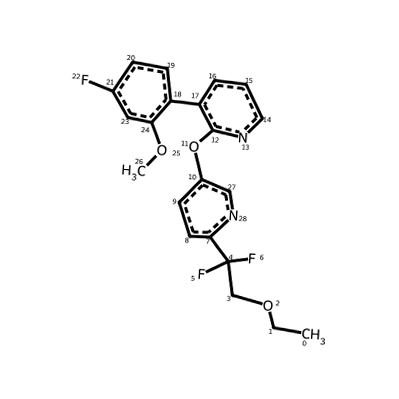 CCOCC(F)(F)c1ccc(Oc2ncccc2-c2ccc(F)cc2OC)cn1